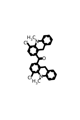 CN1c2ccccc2Cc2c(C(=O)c3ccc(Cl)c4c3Cc3ccccc3N4C)ccc(Cl)c21